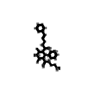 CC1=C(C(=O)OCC=Cc2ccccc2)C(c2cccnc2)C(C(=O)OCCC#N)=C(C)N1